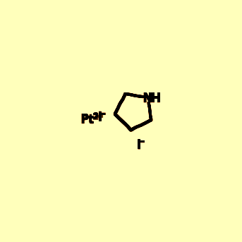 C1CCNC1.[I-].[I-].[Pt+2]